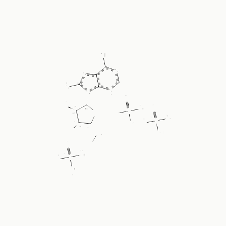 Nc1ncnc2c1nc(N)n2[C@@H]1O[C@H](CO)[C@@H](O)[C@H]1O.O=P(O)(O)O.O=P(O)(O)O.O=P(O)(O)O